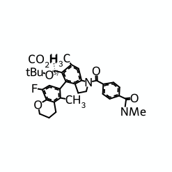 CNC(=O)c1ccc(C(=O)N2CCc3c2cc(C)c([C@H](OC(C)(C)C)C(=O)O)c3-c2cc(F)c3c(c2C)CCCO3)cc1